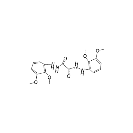 COc1cccc(NNC(=O)C(=O)NNc2cccc(OC)c2OC)c1OC